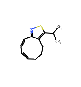 CC(C)c1snc2c1CCC/C=C\C=C/2